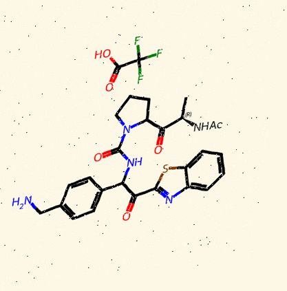 CC(=O)N[C@H](C)C(=O)C1CCCN1C(=O)NC(C(=O)c1nc2ccccc2s1)c1ccc(CN)cc1.O=C(O)C(F)(F)F